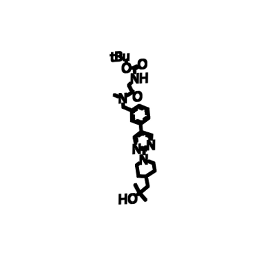 CN(Cc1cccc(-c2cnc(N3CCC(CC(C)(C)O)CC3)nc2)c1)C(=O)CNC(=O)OC(C)(C)C